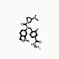 CN(C)C1CCN(C(=O)N(Cc2ccc(C(=O)NN)cc2F)c2ccc3cnn(C)c3c2)C1